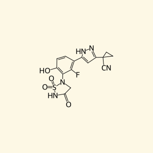 N#CC1(c2cc(-c3ccc(O)c(N4CC(=O)NS4(=O)=O)c3F)[nH]n2)CC1